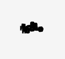 COC(=O)c1c(OCc2ccccc2)ccc2c1CC[C@H](NC1CCC1)[C@H]2O